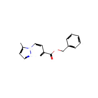 C=C(/C=C\n1nccc1C)C(=O)OCc1ccccc1